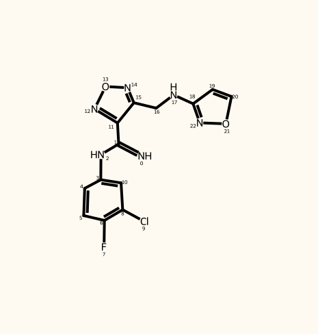 N=C(Nc1ccc(F)c(Cl)c1)c1nonc1CNc1ccon1